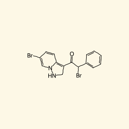 O=C(C1=C2C=CC(Br)=CN2NC1)C(Br)c1ccccc1